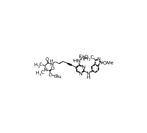 CCCNc1nc(Nc2ccc3c(c2)c(C(=O)OCC)nn3OC)ncc1C#CCCCNC(=O)[C@H](C)N(C)C(=O)OC(C)(C)C